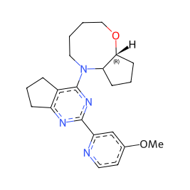 COc1ccnc(-c2nc3c(c(N4CCCCO[C@@H]5CCCC54)n2)CCC3)c1